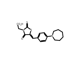 O=C(O)CN1C(=O)C(=Cc2ccc(N3CCCCCC3)cc2)SC1=S